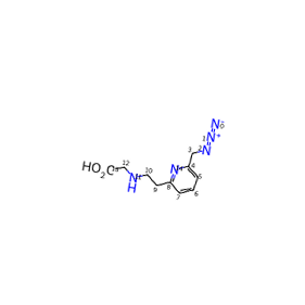 [N-]=[N+]=NCc1cccc(CCNCC(=O)O)n1